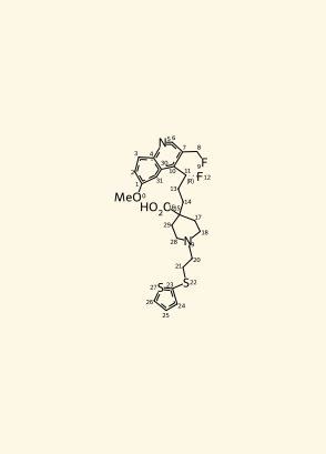 COc1ccc2ncc(CF)c([C@H](F)CCC3(C(=O)O)CCN(CCSc4cccs4)CC3)c2c1